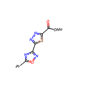 COC(=O)c1nnc(-c2noc(C(C)C)n2)s1